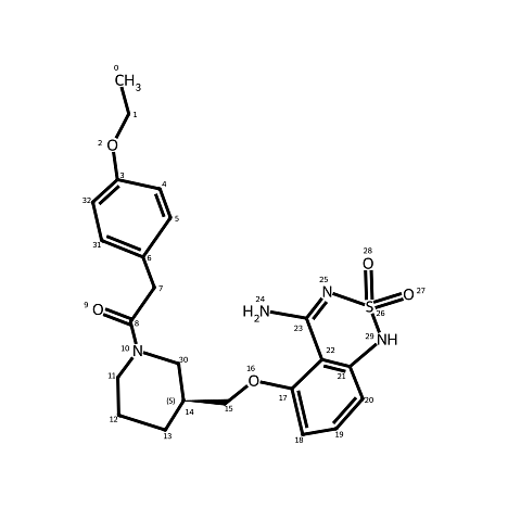 CCOc1ccc(CC(=O)N2CCC[C@H](COc3cccc4c3C(N)=NS(=O)(=O)N4)C2)cc1